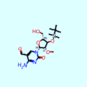 CO[C@H]1C(O[Si](C)(C)C(C)(C)C)[C@@H](CO)O[C@H]1n1cc(C=O)c(N)nc1=O